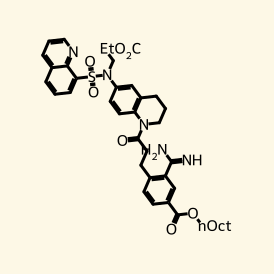 CCCCCCCCOC(=O)c1ccc(CCC(=O)N2CCCc3cc(N(CC(=O)OCC)S(=O)(=O)c4cccc5cccnc45)ccc32)c(C(=N)N)c1